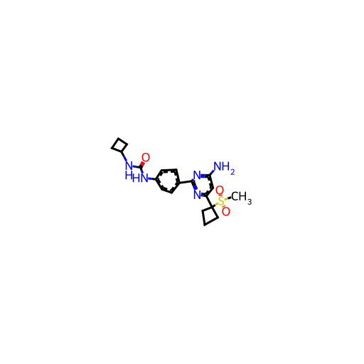 CS(=O)(=O)C1(c2cc(N)nc(-c3ccc(NC(=O)NC4CCC4)cc3)n2)CCC1